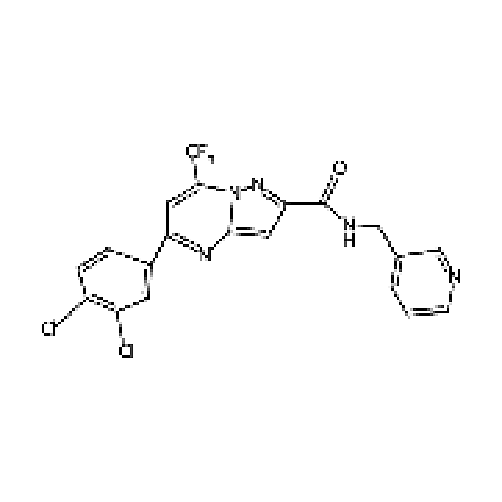 O=C(NCc1cccnc1)c1cc2nc(-c3ccc(Cl)c(Cl)c3)cc(C(F)(F)F)n2n1